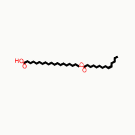 CCCC/C=C\CCCCCCCC(=O)OCCCCCCCCCCCCCCCCCCC(=O)O